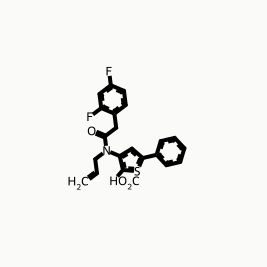 C=CCN(C(=O)Cc1ccc(F)cc1F)c1cc(-c2ccccc2)sc1C(=O)O